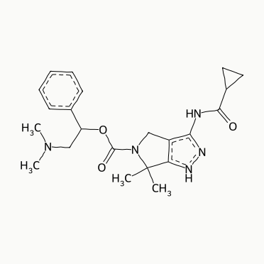 CN(C)CC(OC(=O)N1Cc2c(NC(=O)C3CC3)n[nH]c2C1(C)C)c1ccccc1